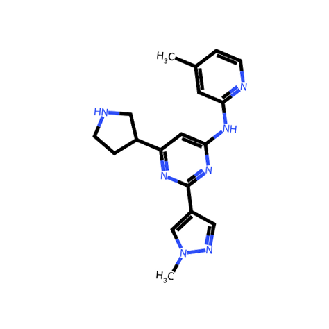 Cc1ccnc(Nc2cc(C3CCNC3)nc(-c3cnn(C)c3)n2)c1